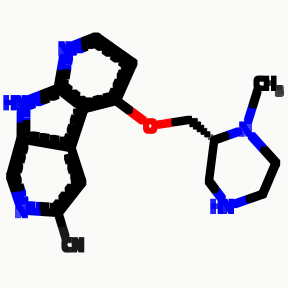 CN1CCNC[C@@H]1COc1ccnc2[nH]c3cnc(C#N)cc3c12